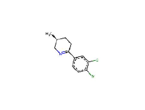 C[C@H]1CCC(c2ccc(Br)c(Cl)c2)=NC1